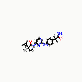 CC(C)(C(N)=O)c1ccc(Nc2nccc(N3CC[C@@](C#N)(C4CC4)C3=O)n2)cc1